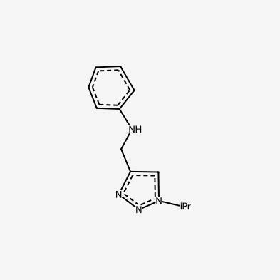 CC(C)n1cc(CNc2ccccc2)nn1